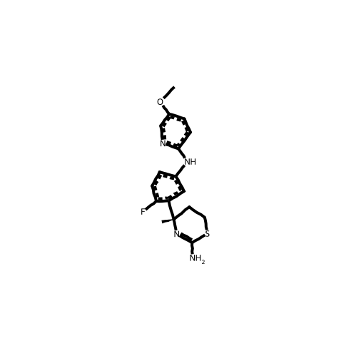 COc1ccc(Nc2ccc(F)c([C@]3(C)CCSC(N)=N3)c2)nc1